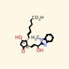 Cn1c(C(O)C=C[C@H]2C(=O)C[C@H](O)[C@@H]2CC=CCCCC(=O)O)nc2ccccc21